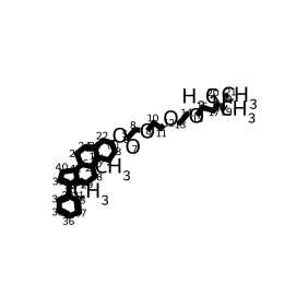 C[C@]12CC[C@H](OC(=O)COCCOCCOCC[N+](C)(C)C)CC1=CCC1C2CC[C@]2(C)C(c3ccccc3)=CCC12